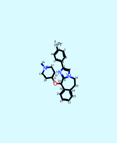 CCCc1ccc(-c2cn3c(n2)C(OC2CCN(C)CC2)c2ccccc2CC3)cc1